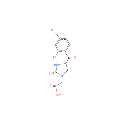 O=C(O)CN1CC(C(=O)c2ccc(Cl)cc2Cl)NC1=O